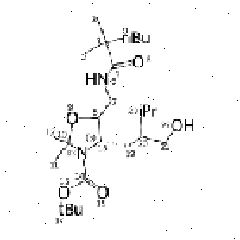 CCCCC(C)(C)C(=O)NCC1OC(C)(C)N(C(=O)OC(C)(C)C)[C@H]1CC(CO)C(C)C